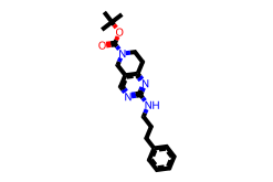 CC(C)(C)OC(=O)N1CCc2nc(NCCCc3ccccc3)ncc2C1